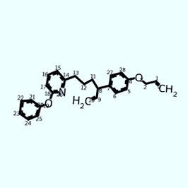 C=CCOc1ccc(C(C=C)CCCc2cccc(Oc3ccccc3)n2)cc1